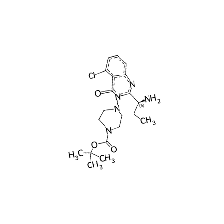 CC[C@H](N)c1nc2cccc(Cl)c2c(=O)n1N1CCN(C(=O)OC(C)(C)C)CC1